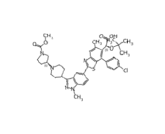 COC(=O)N1CC[C@H](N2CCC(c3nn(C)c4ccc(-c5nc6cc(C)c([C@H](OC(C)(C)C)C(=O)O)c(-c7ccc(Cl)cc7)c6s5)cc34)CC2)C1